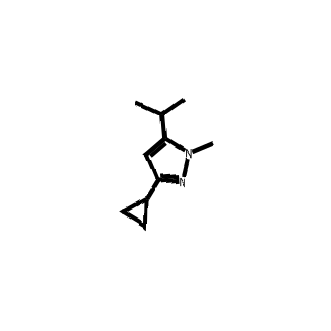 CC(C)c1cc(C2CC2)nn1C